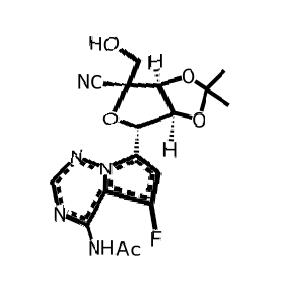 CC(=O)Nc1ncnn2c([C@@H]3O[C@](C#N)(CO)[C@H]4OC(C)(C)O[C@@H]34)cc(F)c12